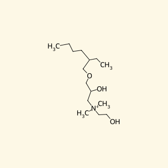 CCCCC(CC)COCC(O)C[N+](C)(C)CCO